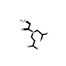 C=CC(=O)N(CCC(F)F)CC(F)F